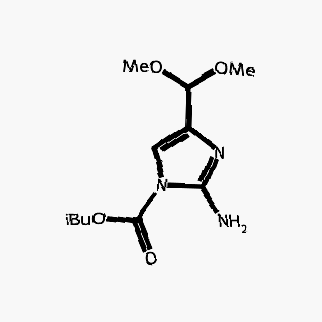 COC(OC)c1cn(C(=O)OCC(C)C)c(N)n1